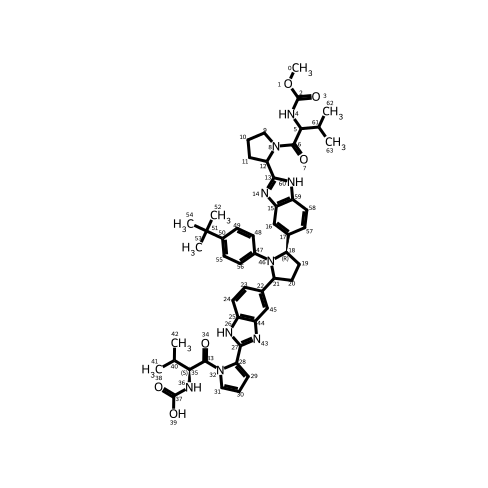 COC(=O)NC(C(=O)N1CCCC1c1nc2cc([C@H]3CCC(c4ccc5[nH]c(-c6cccn6C(=O)[C@@H](NC(=O)O)C(C)C)nc5c4)N3c3ccc(C(C)(C)C)cc3)ccc2[nH]1)C(C)C